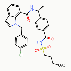 CC(=O)OCCCS(=O)(=O)NC(=O)c1ccc([C@H](C)NC(=O)c2cccc3ccn(Cc4ccc(Cl)cc4)c23)cc1